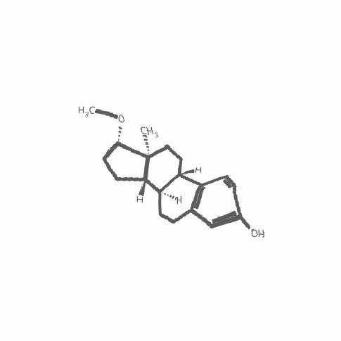 CO[C@H]1CC[C@H]2[C@@H]3CCc4cc(O)ccc4[C@H]3CC[C@]12C